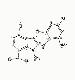 CCC(CC)c1ccc(Cl)c2nc(Oc3c(Cl)cc(Cl)cc3NC)n(C)c12